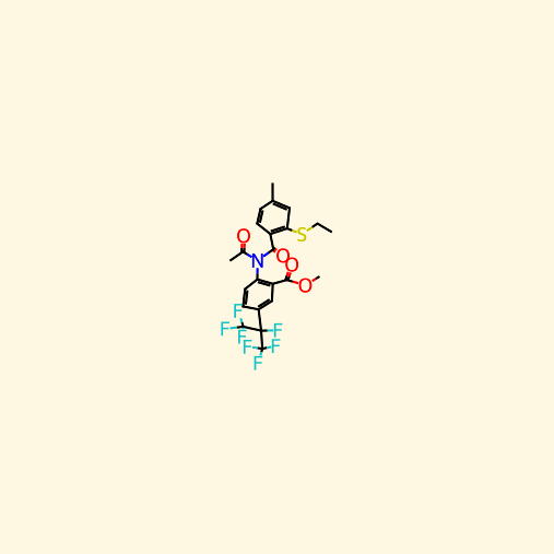 CCSc1cc(C)ccc1C(=O)N(C(C)=O)c1ccc(C(F)(C(F)(F)F)C(F)(F)F)cc1C(=O)OC